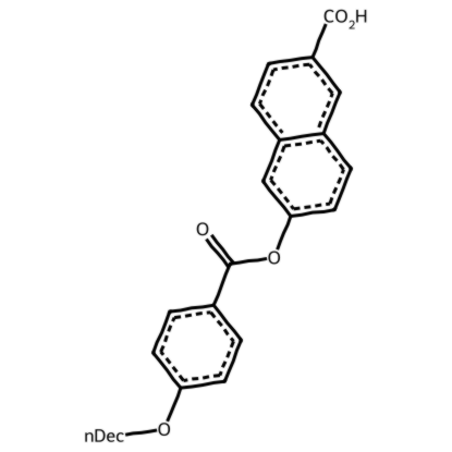 CCCCCCCCCCOc1ccc(C(=O)Oc2ccc3cc(C(=O)O)ccc3c2)cc1